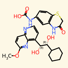 COc1ccc2nccc([C@@H](O)[C@H](O)C3CCCCC3)c2n1.O=C(O)Nc1ccc2c(c1)NC(=O)CS2